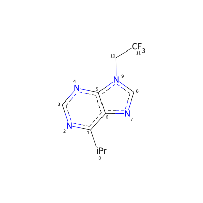 CC(C)c1ncnc2c1ncn2CC(F)(F)F